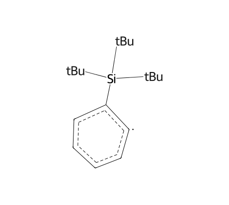 CC(C)(C)[Si](c1[c]cccc1)(C(C)(C)C)C(C)(C)C